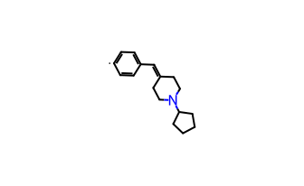 [c]1ccc(C=C2CCN(C3CCCC3)CC2)cc1